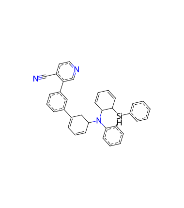 N#Cc1ccncc1-c1cccc(C2=CC=CC(N3c4ccccc4[SiH](c4ccccc4)C4C=CC=CC43)C2)c1